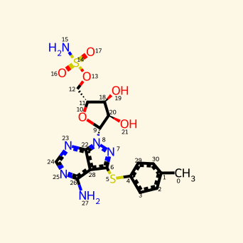 Cc1ccc(Sc2nn([C@@H]3O[C@H](COS(N)(=O)=O)[C@@H](O)[C@H]3O)c3ncnc(N)c23)cc1